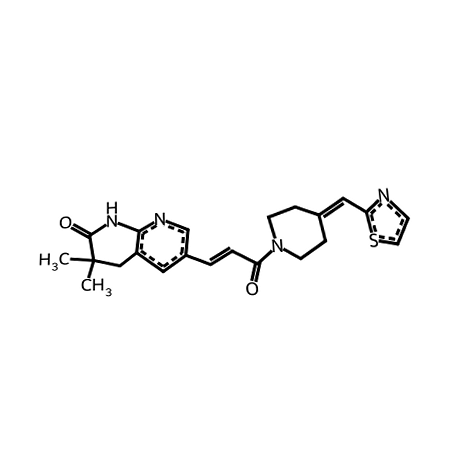 CC1(C)Cc2cc(/C=C/C(=O)N3CCC(=Cc4nccs4)CC3)cnc2NC1=O